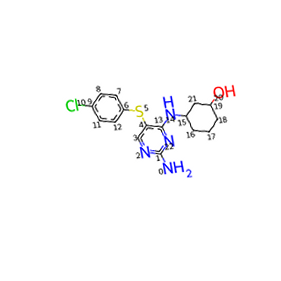 Nc1ncc(Sc2ccc(Cl)cc2)c(NC2CCCC(O)C2)n1